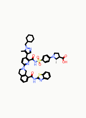 Cc1c(-c2ccc(N3CCc4cccc(C(=O)Nc5nc6ccccc6s5)c4C3)nc2C(=O)NS(=O)(=O)c2ccc(N3CCC(C(=O)O)[C@@H]3C)cc2)cnn1CC1CCCCC1